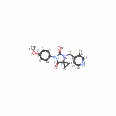 O=C1N(c2ccc(OC(F)(F)F)cc2)C(=O)C2(CC2)N1Cc1ccncc1F